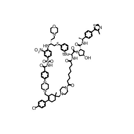 Cc1ncsc1-c1ccc([C@H](C)NC(=O)[C@@H]2C[C@@H](O)CN2C(=O)[C@@H](NC(=O)CCCCCCC(=O)N2CCN(CC3(C)CCC(c4ccc(Cl)cc4)=C(CN4CCN(c5ccc(C(=O)NS(=O)(=O)c6ccc(N[C@H](CCN7CCOCC7)CSc7ccccc7)c([N+](=O)[O-])c6)cc5)CC4)C3)CC2)C(C)(C)C)cc1